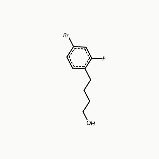 OCC[CH]Cc1ccc(Br)cc1F